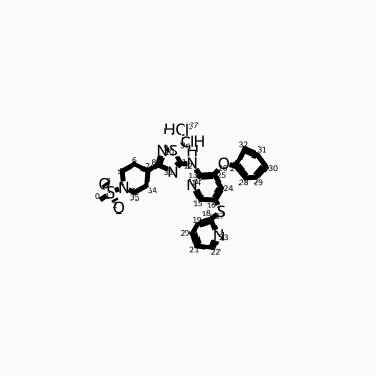 CS(=O)(=O)N1CCC(c2nsc(Nc3ncc(Sc4ccccn4)cc3Oc3ccccc3)n2)CC1.Cl.Cl